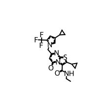 CCNC(=O)c1c(C2CC2)sc2nc(Cn3cc(C4CC4)cc3C(F)(F)F)cc(=O)n12